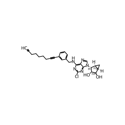 C#CCCCCCC#Cc1cccc(CNc2nc(Cl)nc3c2ncn3[C@H]2[C@H](O)[C@H](O)[C@@H]3C[C@@H]32)c1